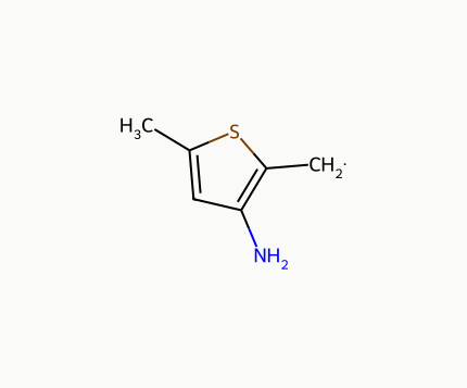 [CH2]c1sc(C)cc1N